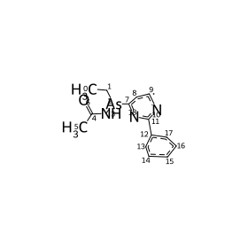 CC[As](NC(C)=O)c1c[c]nc(-c2ccccc2)n1